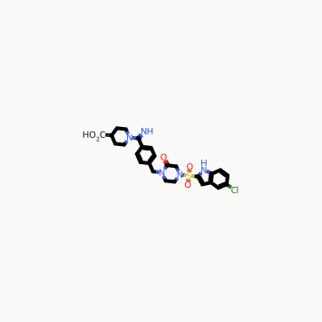 N=C(c1ccc(CN2CCN(S(=O)(=O)c3cc4cc(Cl)ccc4[nH]3)CC2=O)cc1)N1CCC(C(=O)O)CC1